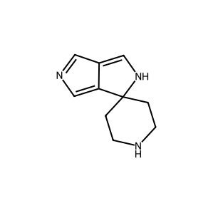 C1=NC=C2C1=CNC21CCNCC1